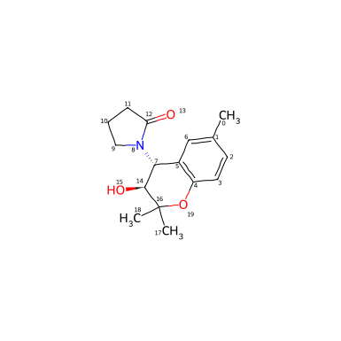 Cc1ccc2c(c1)[C@@H](N1CCCC1=O)[C@H](O)C(C)(C)O2